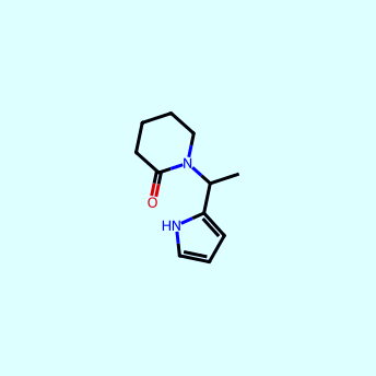 CC(c1ccc[nH]1)N1CCCCC1=O